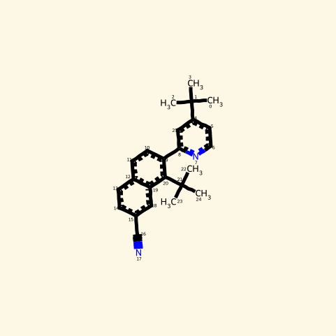 CC(C)(C)c1ccnc(-c2ccc3ccc(C#N)cc3c2C(C)(C)C)c1